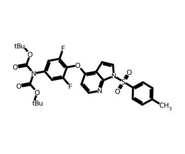 Cc1ccc(S(=O)(=O)n2ccc3c(Oc4c(F)cc(N(C(=O)OC(C)(C)C)C(=O)OC(C)(C)C)cc4F)ccnc32)cc1